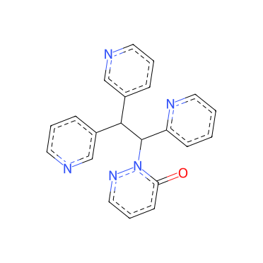 O=c1cccnn1C(c1ccccn1)C(c1cccnc1)c1cccnc1